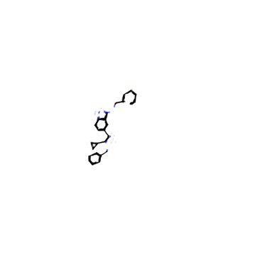 O=C(Nc1n[nH]c2ccc(-c3nnn(Cc4ccccc4)c3C3CC3)cc12)c1cccc(F)c1